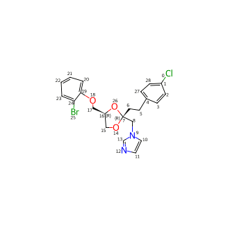 Clc1ccc(CC[C@@]2(Cn3ccnc3)OC[C@@H](COc3ccccc3Br)O2)cc1